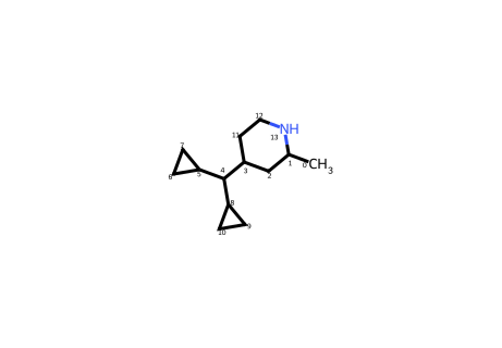 CC1CC(C(C2CC2)C2CC2)CCN1